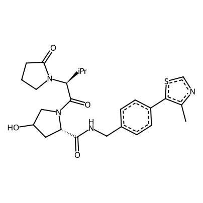 Cc1ncsc1-c1ccc(CNC(=O)[C@@H]2CC(O)CN2C(=O)[C@H](C(C)C)N2CCCC2=O)cc1